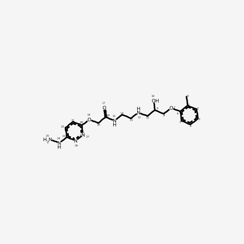 Cc1ccccc1OCC(O)CNCCNC(=O)COc1ccc(NN)nn1